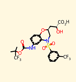 CC(C)(OC(=O)Nc1ccc2c(c1)N(S(=O)(=O)c1cccc(C(F)(F)F)c1)C[C@H](C[C@@H](O)C(=O)O)O2)C(F)(F)F